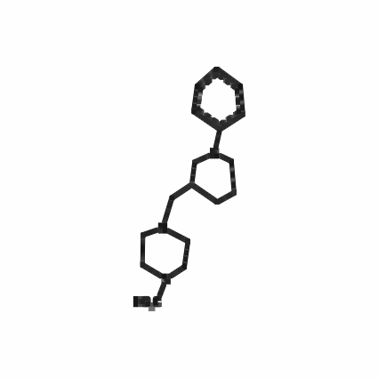 O=C(O)N1CCN(CC2CCCN(c3ccccc3)C2)CC1